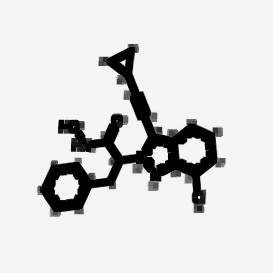 O=C(NO)C(Cc1ccccc1)n1nc2c(Cl)cccc2c1C#CC1CC1